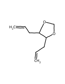 C=CCC1OCOC1CC=C